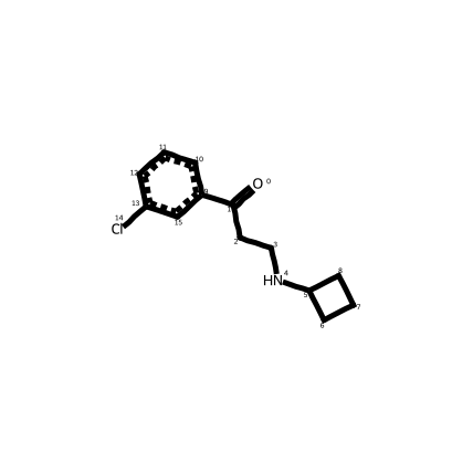 O=C(CCNC1CCC1)c1cccc(Cl)c1